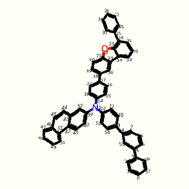 c1ccc(-c2cccc(-c3ccc(N(c4ccc(-c5ccc6oc7c(-c8ccccc8)cccc7c6c5)cc4)c4ccc5c(ccc6ccccc65)c4)cc3)c2)cc1